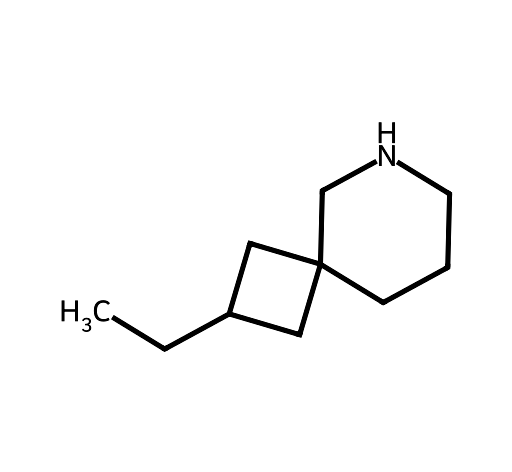 CCC1CC2(CCCNC2)C1